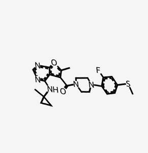 CSc1ccc(N2CCN(C(=O)c3c(C)oc4ncnc(NC5(C)CC5)c34)CC2)c(F)c1